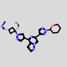 C/N=C\[C@H]1C[C@](CC#N)(n2cc(-c3nc(-c4cnn(C5CCCCO5)n4)cn4nccc34)cn2)C1